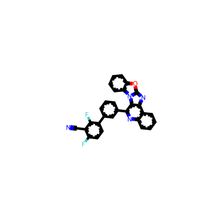 N#Cc1c(F)ccc(-c2cccc(-c3nc4ccccc4c4nc5oc6ccccc6n5c34)c2)c1F